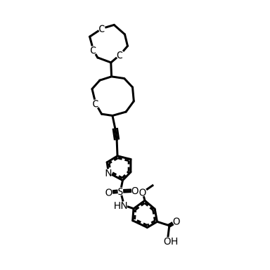 COc1cc(C(=O)O)ccc1NS(=O)(=O)c1ccc(C#CC2CCCCC(C3CCCCCCCC3)CCCC2)cn1